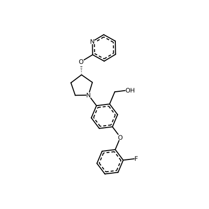 OCc1cc(Oc2ccccc2F)ccc1N1CC[C@H](Oc2ccccn2)C1